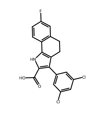 O=C(O)c1[nH]c2c(c1-c1cc(Cl)cc(Cl)c1)CCc1cc(F)ccc1-2